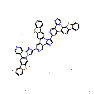 c1ccc2c(c1)sc1cc3c(cc12)c1ccncc1c1nc(-c2cc4c5cc6sc7ccccc7c6cc5n5c(-c6cc7c(cn6)c6nccn6c6c7ccc7c8ccccc8sc76)cnc5c4cn2)cn31